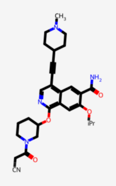 CC(C)Oc1cc2c(OC3CCCN(C(=O)CC#N)C3)ncc(C#CC3CCN(C)CC3)c2cc1C(N)=O